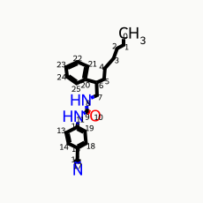 CCCCCCC(CNC(=O)Nc1ccc(C#N)cc1)c1ccccc1